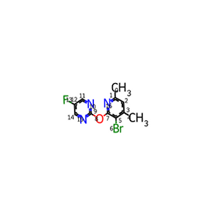 Cc1cc(C)c(Br)c(Oc2ncc(F)cn2)n1